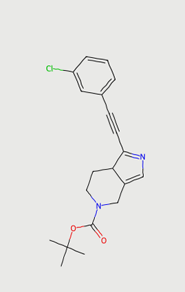 CC(C)(C)OC(=O)N1CCC2C(=CN=C2C#Cc2cccc(Cl)c2)C1